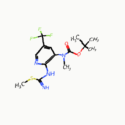 CSC(=N)Nc1ncc(C(F)(F)F)cc1N(C)C(=O)OC(C)(C)C